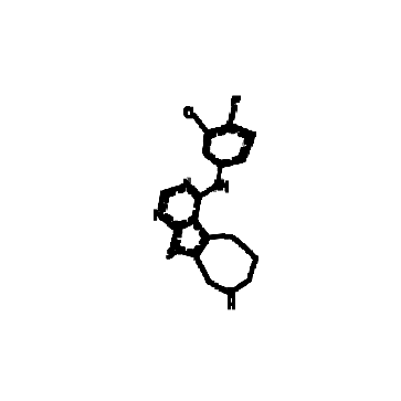 Fc1ccc(Nc2ncnc3sc4c(c23)CCCNC4)cc1Cl